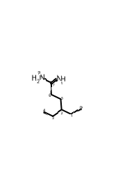 CCC(CC)CCC(=N)N